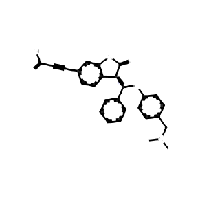 CN(C)Cc1ccc(N/C(=C2\C(=O)Nc3cc(C#CC(N)=O)ccc32)c2ccccc2)cc1